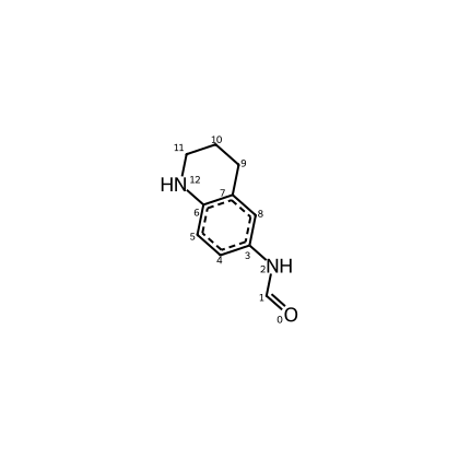 O=CNc1ccc2c(c1)CCCN2